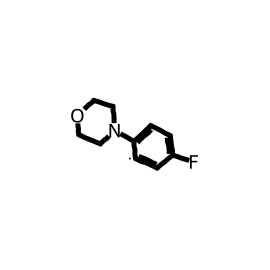 Fc1c[c]c(N2CCOCC2)cc1